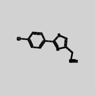 [CH2]OCc1csc(-c2ccc(Cl)cc2)n1